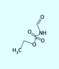 CCOS(=O)(=O)NC=O